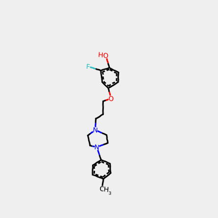 Cc1ccc(N2CCN(CCCOc3ccc(O)c(F)c3)CC2)cc1